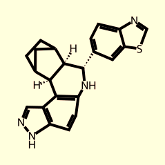 c1nc2ccc([C@@H]3Nc4ccc5[nH]ncc5c4[C@H]4C5CCC(C5)[C@@H]34)cc2s1